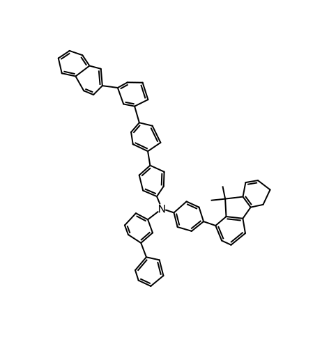 CC1(C)C2=C(CCC=C2)c2cccc(-c3ccc(N(c4ccc(-c5ccc(-c6cccc(-c7ccc8ccccc8c7)c6)cc5)cc4)c4cccc(-c5ccccc5)c4)cc3)c21